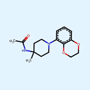 CC(=O)NC1(C)CCN(c2cccc3c2OCCO3)CC1